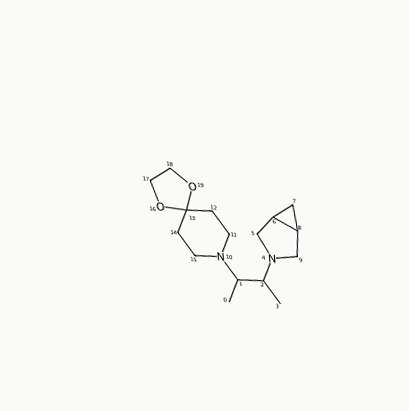 CC(C(C)N1CC2CC2C1)N1CCC2(CC1)OCCO2